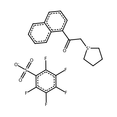 O=C(C[S+]1CCCC1)c1cccc2ccccc12.O=S(=O)([O-])c1c(F)c(F)c(F)c(F)c1F